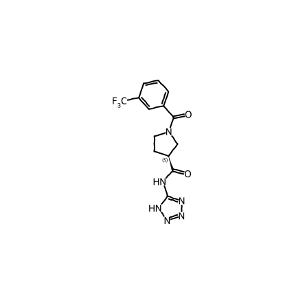 O=C(Nc1nnn[nH]1)[C@H]1CCN(C(=O)c2cccc(C(F)(F)F)c2)C1